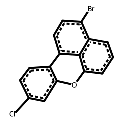 Clc1ccc2c(c1)Oc1cccc3c(Br)ccc-2c13